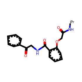 CC(C)NC(=O)COc1ccccc1C(=O)NCC(=O)c1ccccc1